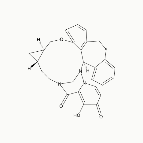 O=C1c2c(O)c(=O)ccn2N2CN1CC[C@@H]1C[C@H]1COc1cccc3c1[C@H]2c1ccccc1SC3